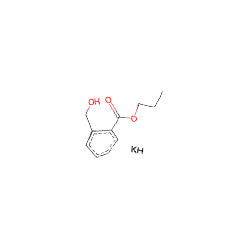 CCCOC(=O)c1ccccc1CO.[KH]